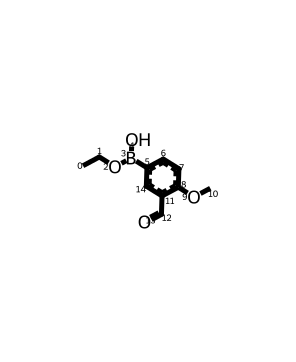 CCOB(O)c1ccc(OC)c(C=O)c1